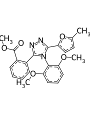 COC(=O)c1ccccc1-c1nnc(-c2ccc(C)o2)n1-c1c(OC)cccc1OC